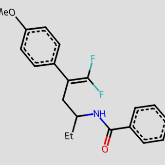 CCC(CC(=C(F)F)c1ccc(OC)cc1)NC(=O)c1ccccc1